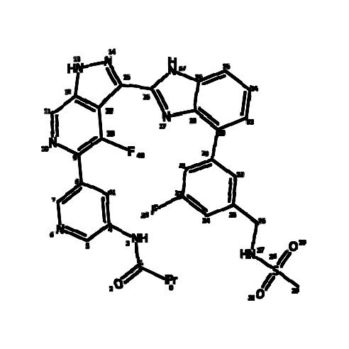 CC(C)C(=O)Nc1cncc(-c2ncc3[nH]nc(-c4nc5c(-c6cc(F)cc(CNS(C)(=O)=O)c6)cccc5[nH]4)c3c2F)c1